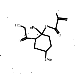 C=C(C)C(=O)OC1(CCC)CCC(SC)CC1C(=O)CO